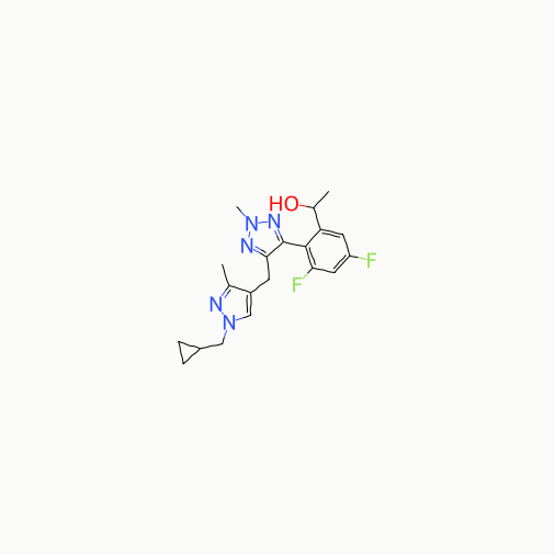 Cc1nn(CC2CC2)cc1Cc1nn(C)nc1-c1c(F)cc(F)cc1C(C)O